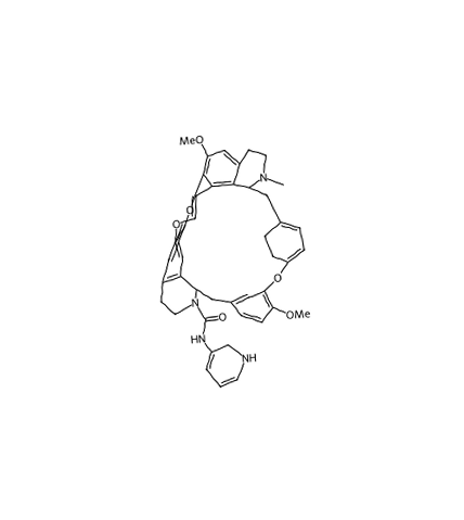 COc1ccc2cc1OC1=CC=C(CC1)CC1c3c(cc(OC)c4oc5cc6c(cc5occc34)C(C2)N(C(=O)NC2=CC=CNC2)CC6)CCN1C